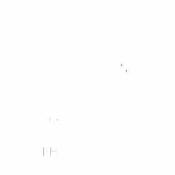 POCc1ccccn1